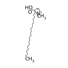 CCCCCCCCCCCCCCCCCCCCc1c(C(=O)O)ccc[n+]1C